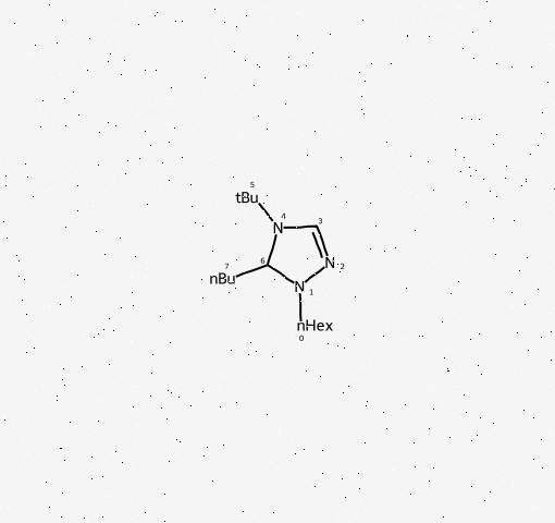 CCCCCCN1N=CN(C(C)(C)C)C1CCCC